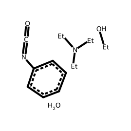 CCN(CC)CC.CCO.O.O=C=Nc1ccccc1